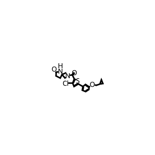 O=C1CCC2(CN(C(=O)c3sc(-c4cccc(OCC5CC5)c4)cc3Cl)C2)N1